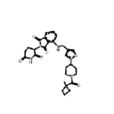 CC1(C(=O)N2CCC(n3cc(CNc4cccc5c4C(=O)N(C4CCC(=O)NC4=O)C5=O)cn3)CC2)CCC1